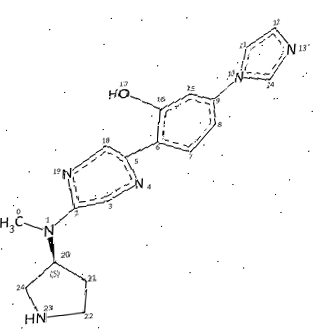 CN(c1cnc(-c2ccc(-n3ccnc3)cc2O)cn1)[C@H]1CCNC1